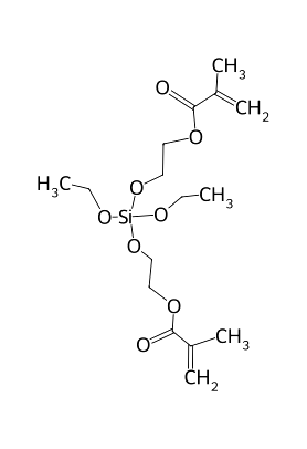 C=C(C)C(=O)OCCO[Si](OCC)(OCC)OCCOC(=O)C(=C)C